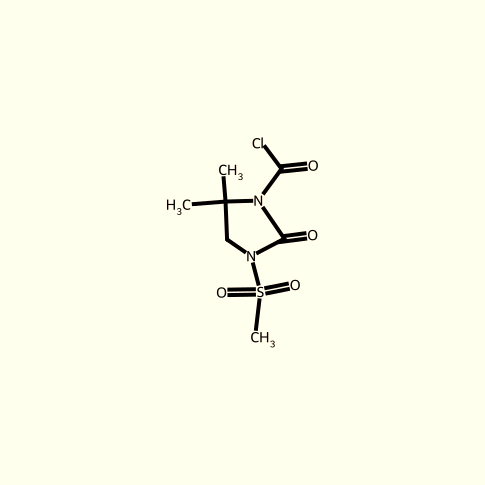 CC1(C)CN(S(C)(=O)=O)C(=O)N1C(=O)Cl